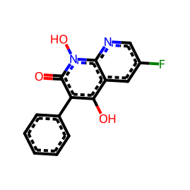 O=c1c(-c2ccccc2)c(O)c2cc(F)cnc2n1O